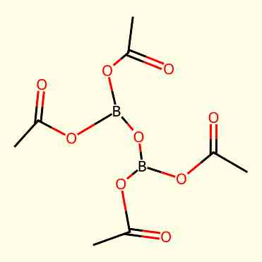 CC(=O)OB(OB(OC(C)=O)OC(C)=O)OC(C)=O